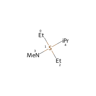 CCS(CC)(NC)C(C)C